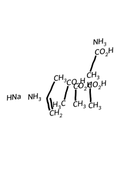 C=CC.CC(=O)O.CC(=O)O.CC(=O)O.CC(=O)O.N.N.[NaH]